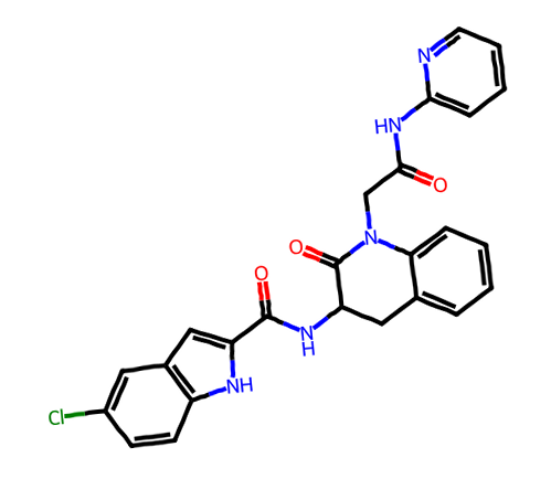 O=C(CN1C(=O)C(NC(=O)c2cc3cc(Cl)ccc3[nH]2)Cc2ccccc21)Nc1ccccn1